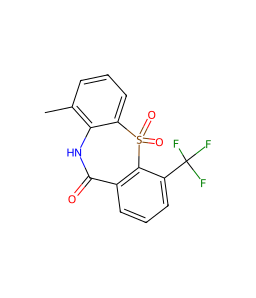 Cc1cccc2c1NC(=O)c1cccc(C(F)(F)F)c1S2(=O)=O